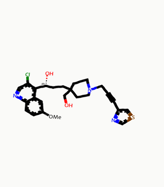 COc1ccc2ncc(Cl)c([C@H](O)CCC3(CO)CCN(CC#Cc4cscn4)CC3)c2c1